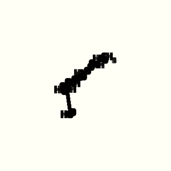 CC(=O)NCCCCNC(=O)COCCOCCNC(=O)COCCOCCNC(=O)CC[C@H](NC(=O)CCCCCCCCCCCCC(=O)O)C(=O)O